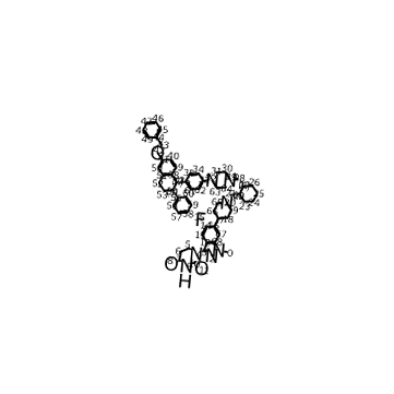 Cn1nc(N2CCC(=O)NC2=O)c2cc(F)c(C3CCN(C[C@@H]4CCCC[C@H]4CN4CCN(c5ccc([C@@H]6c7ccc(OCc8ccccc8)cc7CC[C@@H]6c6ccccc6)cc5)CC4)CC3)cc21